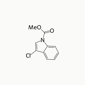 COC(=O)n1cc(Cl)c2ccccc21